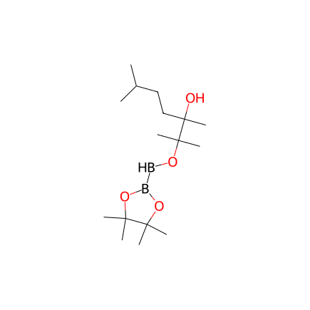 CC(C)CCC(C)(O)C(C)(C)OBB1OC(C)(C)C(C)(C)O1